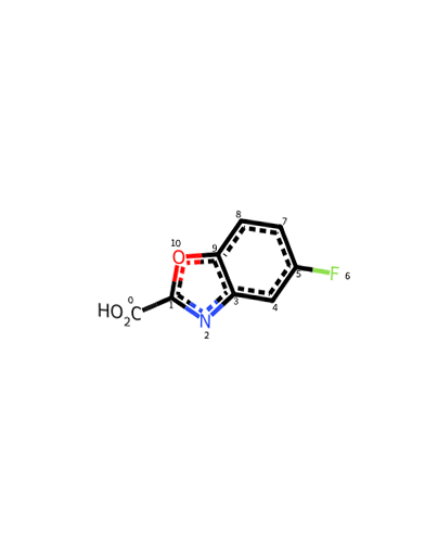 O=C(O)c1nc2cc(F)ccc2o1